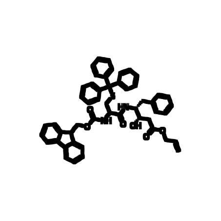 C=CCOC(=O)C[C@H](O)[C@@H](Cc1ccccc1)NC(=O)C(CSC(c1ccccc1)(c1ccccc1)c1ccccc1)NC(=O)OCC1c2ccccc2-c2ccccc21